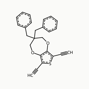 C#Cc1sc(C#C)c2c1OCC(Cc1ccccc1)(Cc1ccccc1)CO2